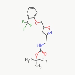 CC(C)(C)OC(=O)NCC1=NOC(COc2ccccc2C(F)(F)F)C1